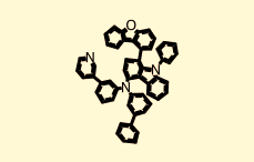 c1ccc(-c2cccc(N(c3cccc(-c4cccnc4)c3)c3ccc(-c4cccc5oc6ccccc6c45)c4c3c3ccccc3n4-c3ccccc3)c2)cc1